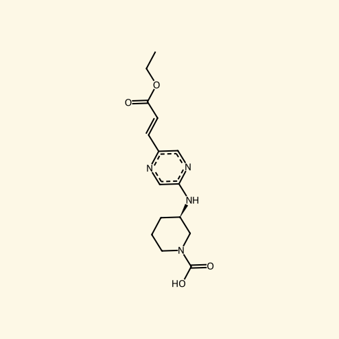 CCOC(=O)/C=C/c1cnc(N[C@@H]2CCCN(C(=O)O)C2)cn1